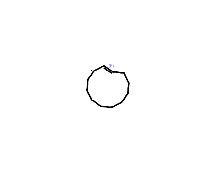 [CH]1/C=C/CCCCCCCCC1